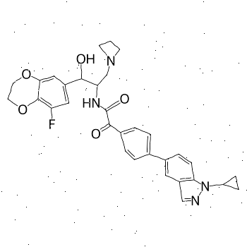 O=C(NC(CN1CCC1)C(O)c1cc(F)c2c(c1)OCCO2)C(=O)c1ccc(-c2ccc3c(cnn3C3CC3)c2)cc1